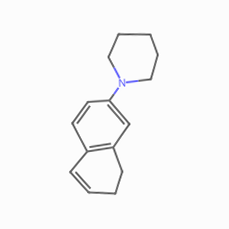 C1=Cc2ccc(N3CCCCC3)cc2CC1